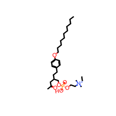 CCCCCCCCCCCOc1ccc(CCC(COP(=O)(O)OCC[N+](C)(C)CC)CC(C)=O)cc1